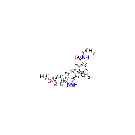 CCNC(=O)c1ccc(C)c(-c2ccc3c(-c4ccc(OC)cc4)n[nH]c3c2)c1